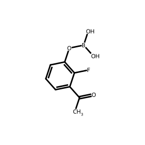 CC(=O)c1cccc(OB(O)O)c1F